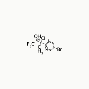 CC(C)(c1ccc(Br)cn1)[C@@H](O)C(F)(F)F